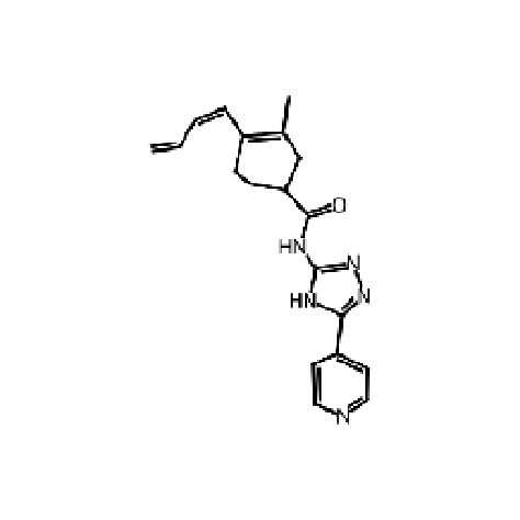 C=C/C=C\C1=C(C)CC(C(=O)Nc2nnc(-c3ccncc3)[nH]2)CC1